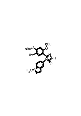 CCCCOc1cc(OCCCC)c(C(C)C)cc1-c1n[nH]c(=O)n1-c1ccc2c(ccn2C)c1